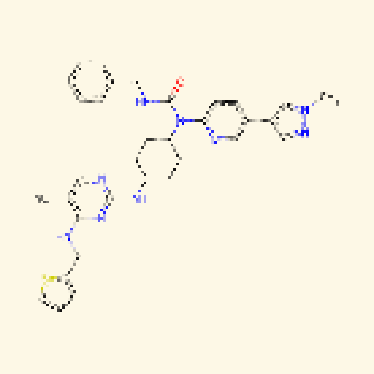 Cn1cc(-c2ccc(N(C(=O)NCc3ccccc3)C3CCC(Nc4ncc(C#N)c(NCc5cccs5)n4)CC3)nc2)cn1